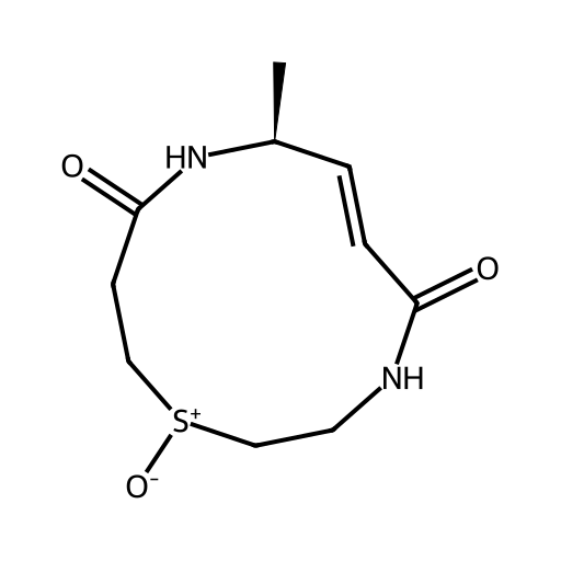 C[C@H]1/C=C/C(=O)NCC[S+]([O-])CCC(=O)N1